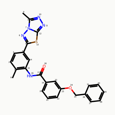 Cc1ccc(-c2nn3c(C)nnc3s2)cc1NC(=O)c1cccc(OCc2ccccc2)c1